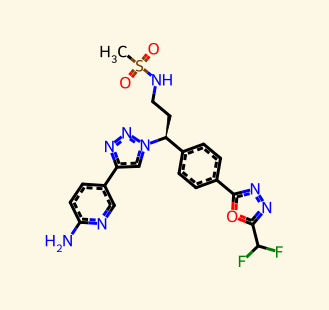 CS(=O)(=O)NCC[C@@H](c1ccc(-c2nnc(C(F)F)o2)cc1)n1cc(-c2ccc(N)nc2)nn1